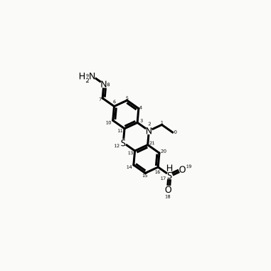 CCN1c2ccc(/C=N/N)cc2Sc2ccc([SH](=O)=O)cc21